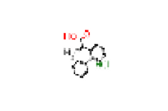 C=C(C(=O)O)c1ccccc1-c1ccccc1.Cl